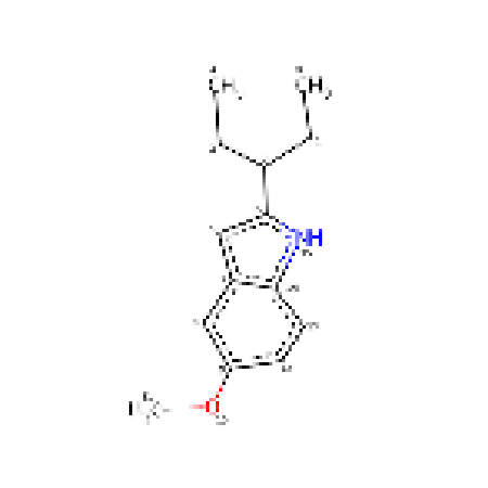 CCC(CC)c1cc2cc(OC)ccc2[nH]1